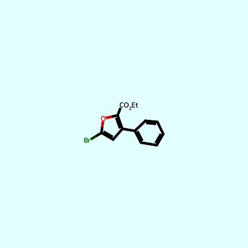 CCOC(=O)c1oc(Br)cc1-c1ccccc1